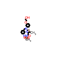 Cc1sc(N(Cc2ccccc2)c2cccc(OCCO)c2)nc1C(=O)NS(C)(=O)=O